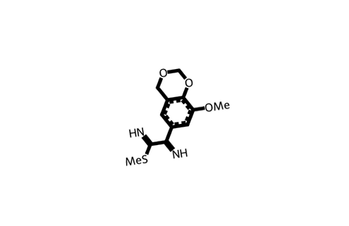 COc1cc(C(=N)C(=N)SC)cc2c1OCOC2